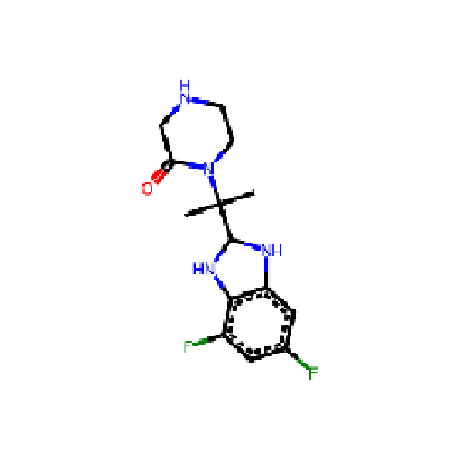 CC(C)(C1Nc2cc(F)cc(F)c2N1)N1CCNCC1=O